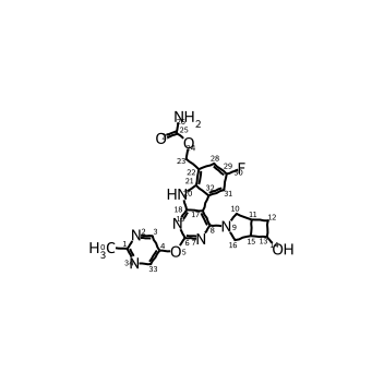 Cc1ncc(Oc2nc(N3CC4CC(O)C4C3)c3c(n2)[nH]c2c(COC(N)=O)cc(F)cc23)cn1